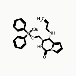 C=CCN[C@@H]1c2cccn2C(=O)N[C@H]1CO[Si](c1ccccc1)(c1ccccc1)C(C)(C)C